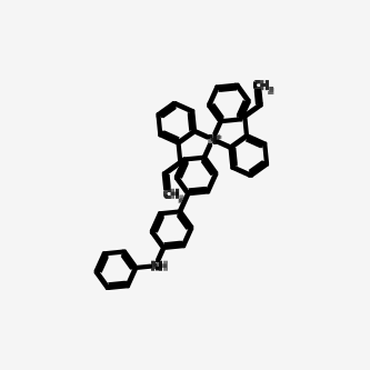 C=CCc1ccccc1[N+](c1ccccc1)(c1ccc(-c2ccc(Nc3ccccc3)cc2)cc1)c1ccccc1CC=C